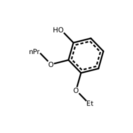 CCCOc1c(O)cccc1OCC